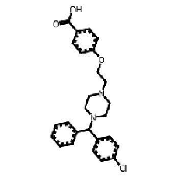 O=C(O)c1ccc(OCCN2CCN(C(c3ccccc3)c3ccc(Cl)cc3)CC2)cc1